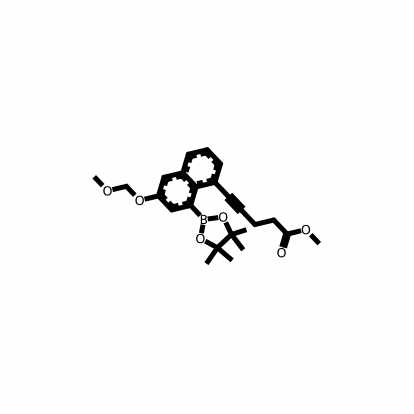 COCOc1cc(B2OC(C)(C)C(C)(C)O2)c2c(C#CCCC(=O)OC)cccc2c1